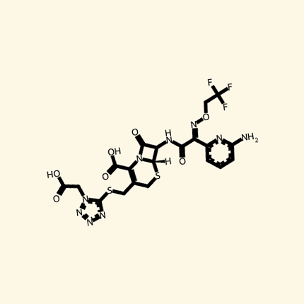 Nc1cccc(C(=NOCC(F)(F)F)C(=O)NC2C(=O)N3C(C(=O)O)=C(CSc4nnnn4CC(=O)O)CS[C@@H]23)n1